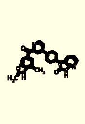 C=C1Nc2c(C)cc(C(=O)c3cc(N4CCC(n5c(=O)[nH]c6ncccc65)CC4)ccn3)cc2O1